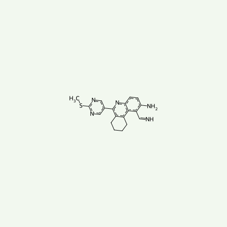 CSc1ncc(-c2nc3ccc(N)c(C=N)c3c3c2CCCC3)cn1